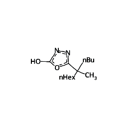 CCCCCCC(C)(CCCC)c1nnc(O)o1